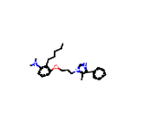 CC[CH]CCc1c(OCCCn2cnc(-c3ccccc3)c2C)cccc1N(C)C